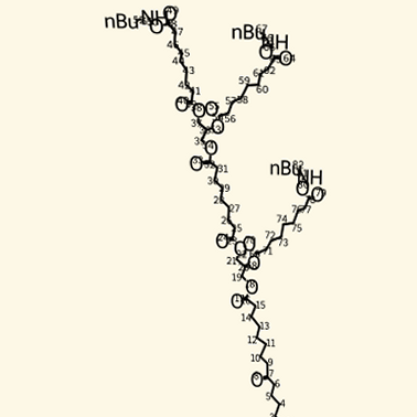 CCC/C=C/CCCCC(=O)CCCCCCCC(=O)OCC(COC(=O)CCCCCCCC(=O)OCC(COC(=O)CCCCCCCC(=O)ONCCCC)OC(=O)CCCCCCCC(=O)ONCCCC)OC(=O)CCCCCCCC(=O)ONCCCC